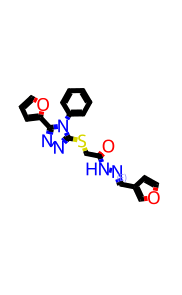 O=C(CSc1nnc(-c2ccco2)n1-c1ccccc1)N/N=C/c1ccoc1